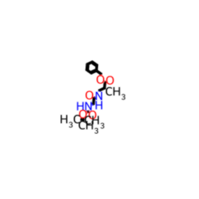 C[C@H](CNC(=O)CNC(=O)OC(C)(C)C)C(=O)OCc1ccccc1